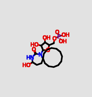 O=C1NC(O)CCC2(CCCCCCCCCCC2)N1C1OC(COP(=O)(O)O)C(O)C1O